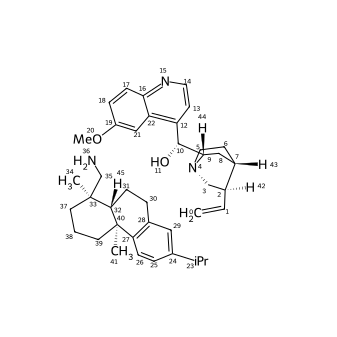 C=C[C@H]1C[N@]2CC[C@H]1C[C@H]2[C@H](O)c1ccnc2ccc(OC)cc12.CC(C)c1ccc2c(c1)CC[C@H]1[C@](C)(CN)CCC[C@]21C